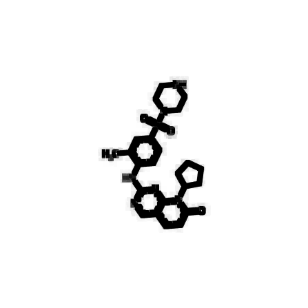 Cc1cc(S(=O)(=O)N2CCNCC2)ccc1Nc1ncc2ccc(=O)n(C3CCCC3)c2n1